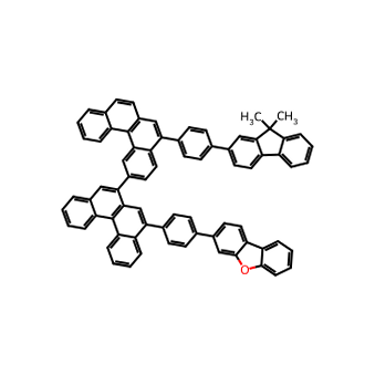 CC1(C)c2ccccc2-c2ccc(-c3ccc(-c4cc5ccc6ccccc6c5c5cc(-c6cc7ccccc7c7c6cc(-c6ccc(-c8ccc9c(c8)oc8ccccc89)cc6)c6ccccc67)ccc45)cc3)cc21